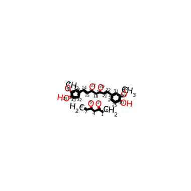 C=CC(=O)CC(=O)C=C.COc1cc(/C=C/C(=O)CC(=O)/C=C/c2ccc(O)c(OC)c2)ccc1O